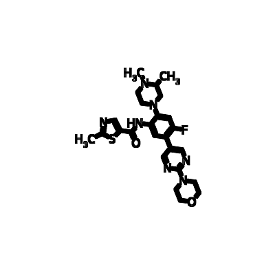 Cc1ncc(C(=O)Nc2cc(-c3cnc(N4CCOCC4)nc3)c(F)cc2N2CCN(C)C(C)C2)s1